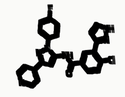 O=C(Nc1cc(-c2ccncc2)nn1-c1ccc(F)cc1)c1ccc(Cl)c(-c2cc[nH]n2)c1